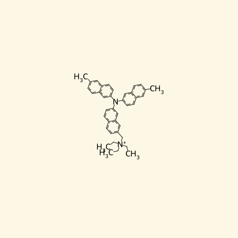 CC[N+](CC)(CC)Cc1ccc2ccc(N(c3ccc4cc(C)ccc4c3)c3ccc4cc(C)ccc4c3)cc2c1